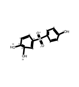 O=S(=O)(c1ccc(O)cc1)c1ccc(O)c(O)c1